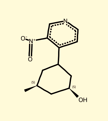 C[C@H]1CC(c2ccncc2[N+](=O)[O-])C[C@@H](O)C1